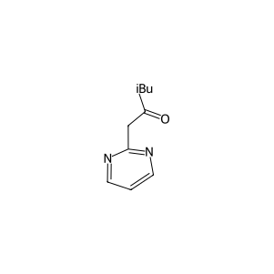 CCC(C)C(=O)Cc1ncccn1